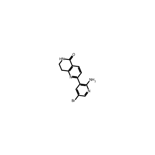 Nc1ncc(Br)cc1-c1ccc2c(n1)CCNC2=O